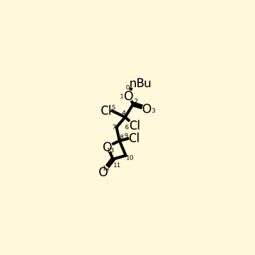 CCCCOC(=O)C(Cl)(Cl)CC1(Cl)CC(=O)O1